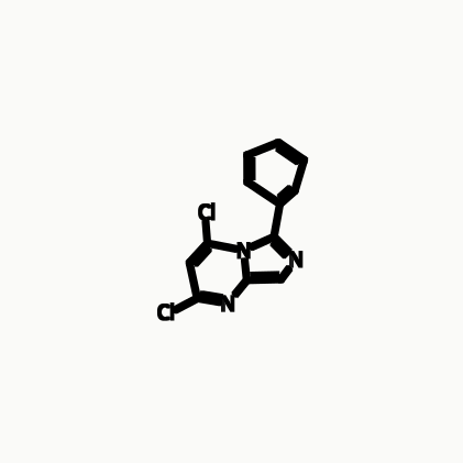 Clc1cc(Cl)n2c(-c3ccccc3)ncc2n1